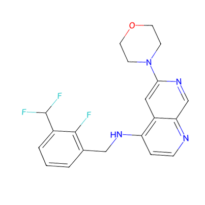 Fc1c(CNc2ccnc3cnc(N4CCOCC4)cc23)cccc1C(F)F